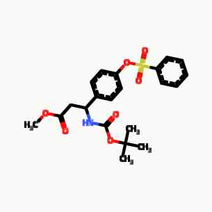 COC(=O)CC(NC(=O)OC(C)(C)C)c1ccc(OS(=O)(=O)c2ccccc2)cc1